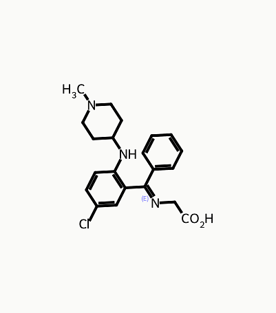 CN1CCC(Nc2ccc(Cl)cc2/C(=N/CC(=O)O)c2ccccc2)CC1